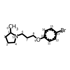 CC1CCCN1CCCOc1ccc(Br)cc1